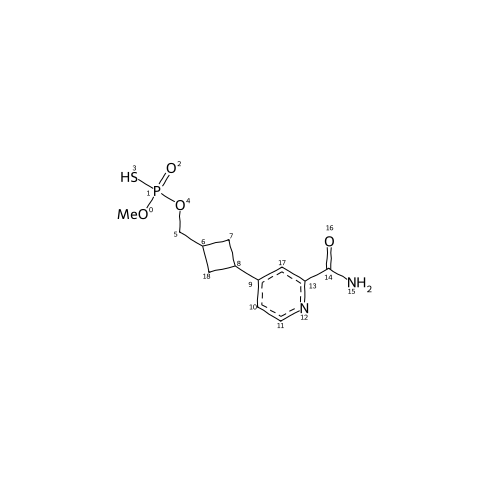 COP(=O)(S)OCC1CC(c2ccnc(C(N)=O)c2)C1